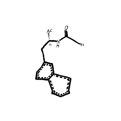 CCC(=O)N[C@H](Cc1ccc2ccccc2c1)C(C)=O